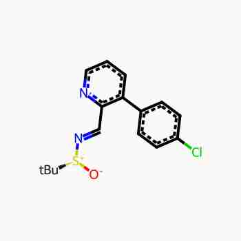 CC(C)(C)[S@+]([O-])N=Cc1ncccc1-c1ccc(Cl)cc1